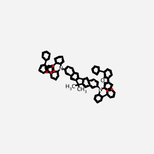 CC1(C)c2cc3cc(N(c4ccccc4-c4ccccc4)c4cccc5c4oc4c(-c6ccccc6)cccc45)ccc3cc2-c2cc3ccc(N(c4ccccc4-c4ccccc4)c4cccc5c4oc4c(-c6ccccc6)cccc45)cc3cc21